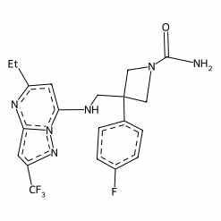 CCc1cc(NCC2(c3ccc(F)cc3)CN(C(N)=O)C2)n2nc(C(F)(F)F)cc2n1